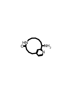 NC1CCCCCNC(=O)CCCc2ccnc1c2